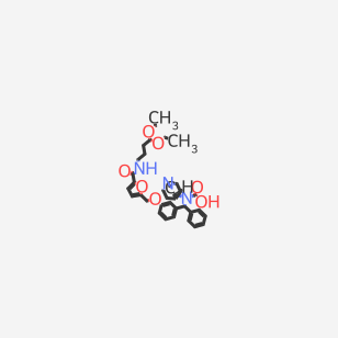 CCOC(CCCNC(=O)c1ccc(COc2cccc(C(c3ccccc3)N(C(=O)O)[C@H]3CN4CCC3CC4)c2)o1)OCC